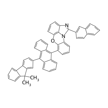 CC1(C)c2ccccc2-c2ccc(-c3c4ccccc4c(-c4cccc5c4Oc4cccc6nc(-c7ccc8ccccc8c7)n-5c46)c4ccccc34)cc21